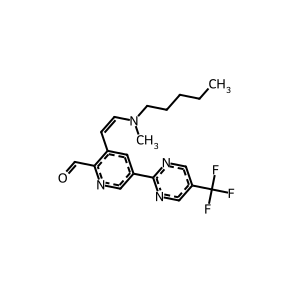 CCCCCN(C)/C=C\c1cc(-c2ncc(C(F)(F)F)cn2)cnc1C=O